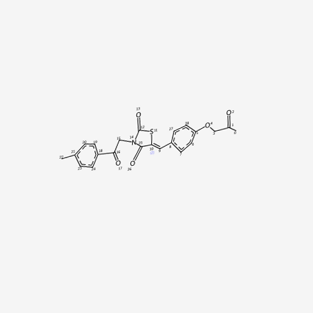 CC(=O)COc1ccc(/C=C2\SC(=O)N(CC(=O)c3ccc(C)cc3)C2=O)cc1